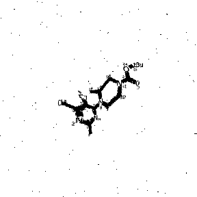 Cc1nc(Cl)c(Cl)c(N2CCN(C(=O)OC(C)(C)C)CC2C)n1